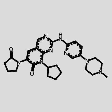 CN1CCN(c2ccc(Nc3ncc4cc(N5CCCC5=O)c(=O)n(C5CCCC5)c4n3)nc2)CC1